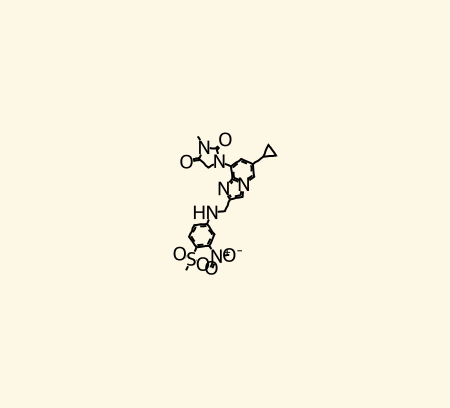 CN1C(=O)CN(c2cc(C3CC3)cn3cc(CNc4ccc(S(C)(=O)=O)c([N+](=O)[O-])c4)nc23)C1=O